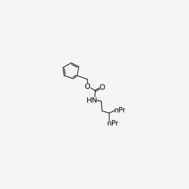 CCCC(CCC)CCNC(=O)OCc1ccccc1